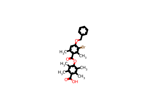 Cc1cc(OCc2ccccc2)c(Br)c(C)c1C(=O)Oc1c(C)c(C)c(C(=O)O)c(C)c1C